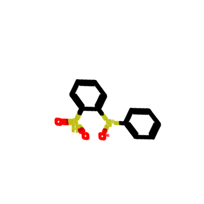 O=[SH](=O)c1ccccc1[S+]([O-])c1ccccc1